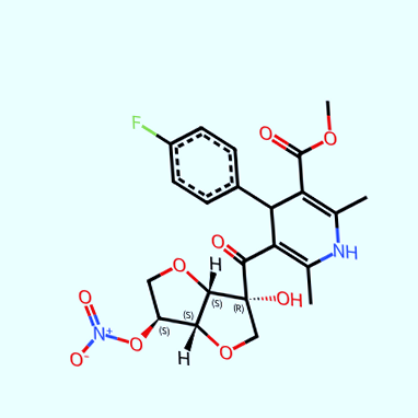 COC(=O)C1=C(C)NC(C)=C(C(=O)[C@@]2(O)CO[C@@H]3[C@@H](O[N+](=O)[O-])CO[C@@H]32)C1c1ccc(F)cc1